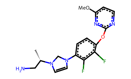 COc1ccnc(Oc2ccc(N3C=CN([C@@H](C)CN)C3)c(F)c2F)n1